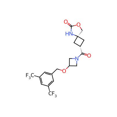 O=C1N[C@]2(CO1)C[C@@H](C(=O)N1CC(OCc3cc(C(F)(F)F)cc(C(F)(F)F)c3)C1)C2